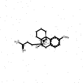 COc1ccc2c(c1)[C@@]13CCCC[C@H]1[C@@H](C2)N(CCC(=N)N)CC3